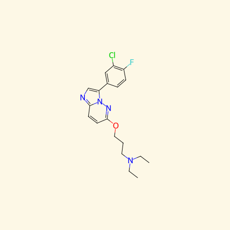 CCN(CC)CCCOc1ccc2ncc(-c3ccc(F)c(Cl)c3)n2n1